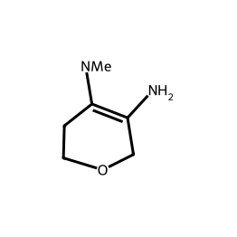 CNC1=C(N)COCC1